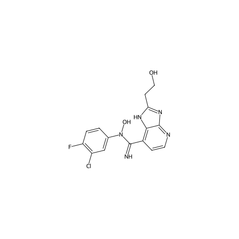 N=C(c1ccnc2nc(CCO)[nH]c12)N(O)c1ccc(F)c(Cl)c1